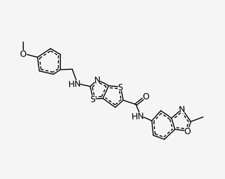 COc1ccc(CNc2nc3sc(C(=O)Nc4ccc5oc(C)nc5c4)cc3s2)cc1